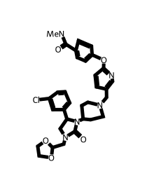 CNC(=O)c1ccc(Oc2ccc(CN3CCC(N4C(=O)N(CC5OCCO5)CC4c4cccc(Cl)c4)CC3)cn2)cc1